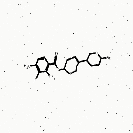 CC(=O)C1CCC(C2CCC(OC(=O)c3ccc(C)c(F)c3C(F)(F)F)CC2)CO1